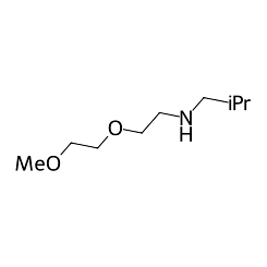 COCCOCCNCC(C)C